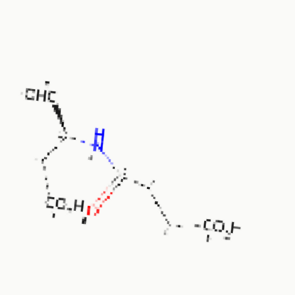 O=[C][C@H](CC(=O)O)NC(=O)CCC(=O)O